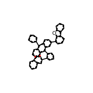 c1ccc(-c2c3ccccc3c(-c3ccccc3-c3ccc4ccccc4c3)c3cc(-c4cccc5c4oc4ccccc45)ccc23)cc1